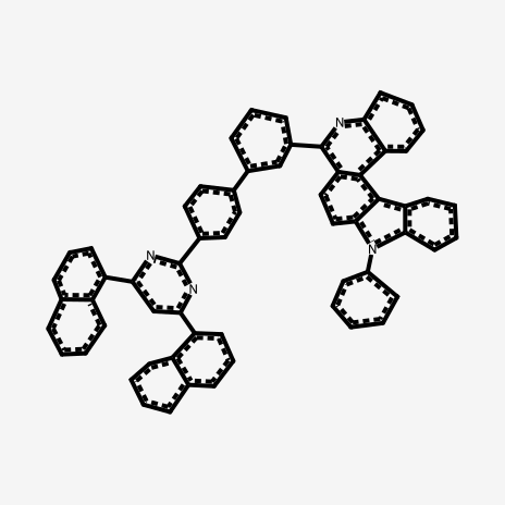 c1ccc(-n2c3ccccc3c3c4c(ccc32)c(-c2cccc(-c3ccc(-c5nc(-c6cccc7ccccc67)cc(-c6cccc7ccccc67)n5)cc3)c2)nc2ccccc24)cc1